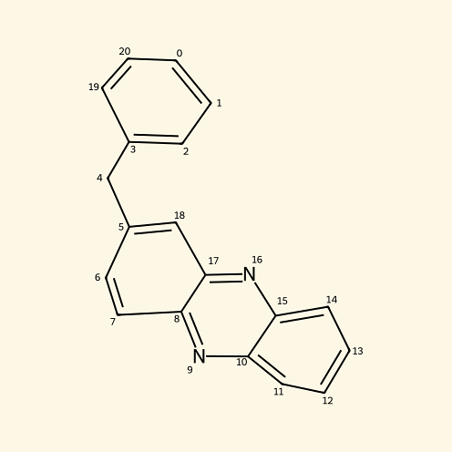 c1ccc(Cc2ccc3nc4ccccc4nc3c2)cc1